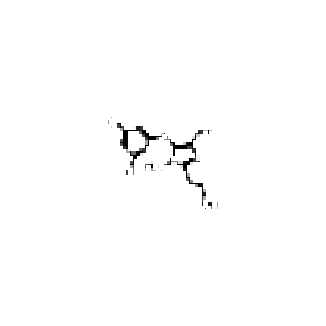 CCCCn1c(CCO)nc(C(C)C)c1Sc1cc(Cl)cc(Cl)c1